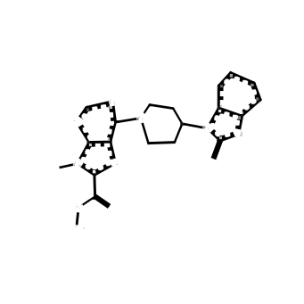 CCCCNC(=O)c1nc2c(N3CCC(n4c(=O)[nH]c5ccccc54)CC3)ncnc2n1C